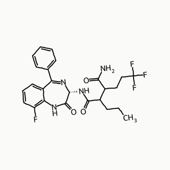 CCCC(C(=O)N[C@H]1N=C(c2ccccc2)c2cccc(F)c2NC1=O)C(CCC(F)(F)F)C(N)=O